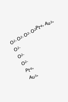 [Au+3].[Au+3].[O-2].[O-2].[O-2].[O-2].[O-2].[O-2].[O-2].[Pt+4].[Pt+4]